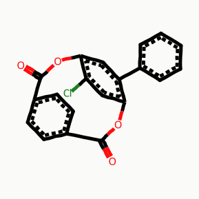 O=C1Oc2cc(-c3ccccc3)c(cc2Cl)OC(=O)c2ccc1cc2